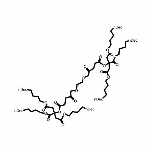 CCCCCCCCCCCCCCOC(=O)CC(CC(=O)OCCCCCCCCCCCCCC)(OC(=O)CCC(=O)COCCOCC(=O)CCC(=O)OC(CC(=O)OCCCCCCCCCCCCCC)(CC(=O)OCCCCCCCCCCCCCC)C(=O)OCCCCCCCCCCCCCC)C(=O)OCCCCCCCCCCCCCC